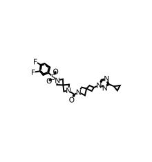 O=C(N1CC2(CC(n3cnc(C4CC4)n3)C2)C1)N1CC2(C1)CN(S(=O)(=O)c1ccc(F)c(F)c1)C2